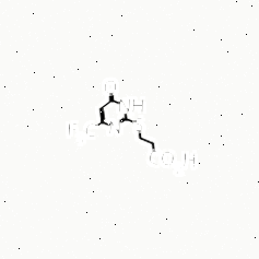 O=C(O)CCSc1nc(C(F)(F)F)cc(=O)[nH]1